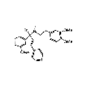 CCC(C=Cc1ccccc1)(c1cccc(OC)c1)N(C)CCc1ccc(OC)c(OC)c1